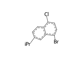 CC(C)c1ccc2c(Cl)ccc(Br)c2c1